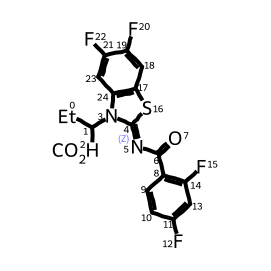 CCC(C(=O)O)n1/c(=N/C(=O)c2ccc(F)cc2F)sc2cc(F)c(F)cc21